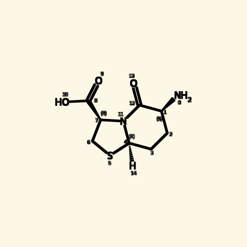 N[C@H]1CC[C@H]2SC[C@@H](C(=O)O)N2C1=O